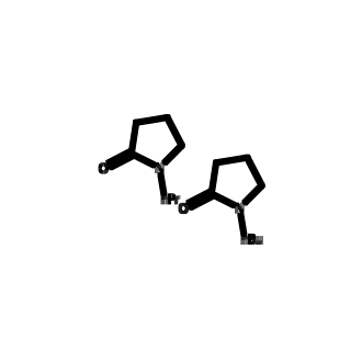 CCCCN1CCCC1=O.CCCN1CCCC1=O